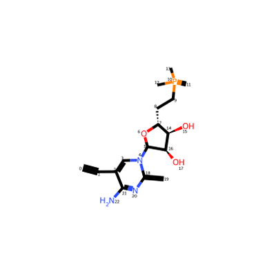 C#CC1=CN(C2O[C@H](CCP(=C)(C)C)[C@@H](O)[C@H]2O)C(=C)N=C1N